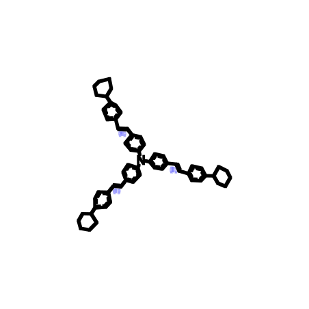 C(=C\c1ccc(N(c2ccc(/C=C/c3ccc(C4CCCCC4)cc3)cc2)c2ccc(/C=C/c3ccc(C4CCCCC4)cc3)cc2)cc1)/c1ccc(C2CCCCC2)cc1